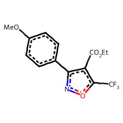 CCOC(=O)c1c(-c2ccc(OC)cc2)noc1C(F)(F)F